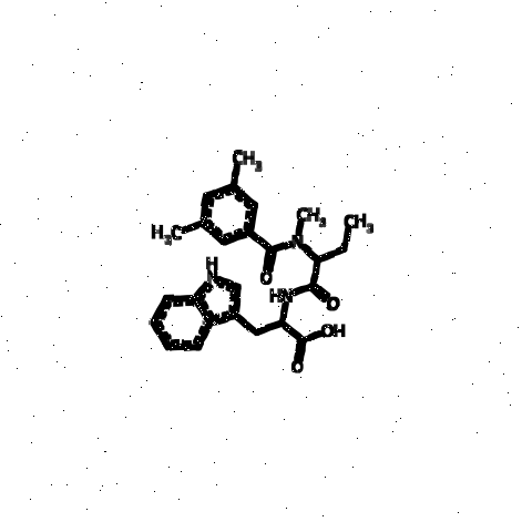 CCC(C(=O)NC(Cc1c[nH]c2ccccc12)C(=O)O)N(C)C(=O)c1cc(C)cc(C)c1